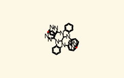 c1cnnc(N2c3ccccc3N(c3cccnn3)C2C2N(c3cccnn3)c3ccccc3N2c2cccnn2)c1